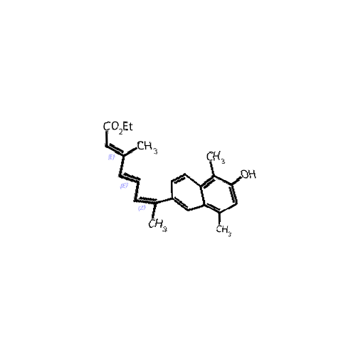 CCOC(=O)/C=C(C)/C=C/C=C(/C)c1ccc2c(C)c(O)cc(C)c2c1